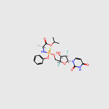 CC(C)OC(=O)[C@@H](C)NP(=S)(OC[C@@]1(F)O[C@@H](n2ccc(=O)[nH]c2=O)[C@@H](F)[C@@H]1O)Oc1ccccc1